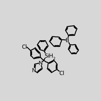 Clc1ccc(C([SiH2]c2ccccc2)(c2ccc(Cl)cc2)n2ccnc2)cc1.c1ccc(B(c2ccccc2)c2ccccc2)cc1